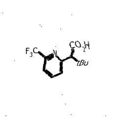 CC(C)(C)C(C(=O)O)c1cccc(C(F)(F)F)n1